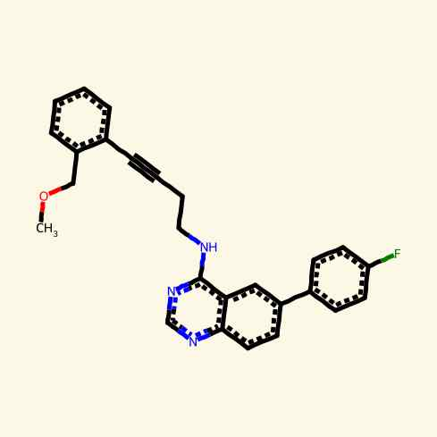 COCc1ccccc1C#CCCNc1ncnc2ccc(-c3ccc(F)cc3)cc12